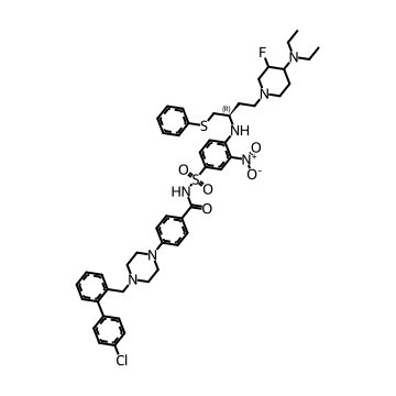 CCN(CC)C1CCN(CC[C@H](CSc2ccccc2)Nc2ccc(S(=O)(=O)NC(=O)c3ccc(N4CCN(Cc5ccccc5-c5ccc(Cl)cc5)CC4)cc3)cc2[N+](=O)[O-])CC1F